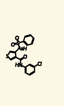 O=C(Nc1cccc(Cl)c1)c1cscc1[AsH]S(=O)(=O)c1ccccc1